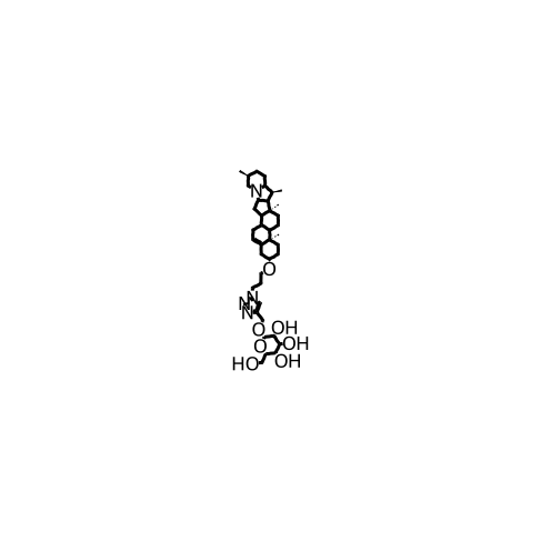 C[C@H]1CCC2[C@@H](C)C3C(CC4C5CC=C6C[C@@H](OCCCn7cc(COC8OC(CO)C(O)C(O)C8O)nn7)CC[C@]6(C)C5CC[C@@]43C)N2C1